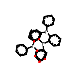 c1ccc(P(c2ccccc2)c2ccccc2P(c2ccccc2)c2ccccc2P(c2ccccc2)c2ccccc2)cc1